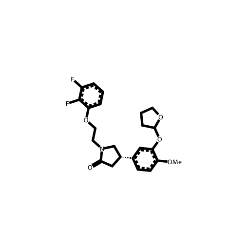 COc1ccc([C@@H]2CC(=O)N(CCOc3cccc(F)c3F)C2)cc1OC1CCCO1